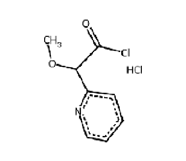 COC(C(=O)Cl)c1ccccn1.Cl